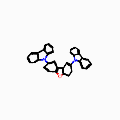 C1=C(n2c3ccccc3c3ccccc32)CCc2oc3ccc(-n4c5ccccc5c5ccccc54)cc3c21